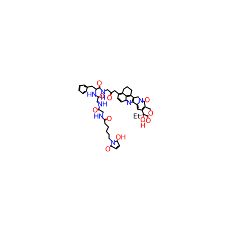 CC[C@@]1(O)C(=O)OCc2c1cc1n(c2=O)Cc2c-1nc1ccc(CC(=O)CNC(=O)C(Cc3ccccc3)NC(=O)CNC(=O)CNC(=O)CCCCCN3C(=O)C=CC3O)c3c1c2CCC3